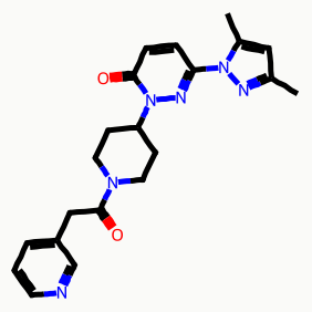 Cc1cc(C)n(-c2ccc(=O)n(C3CCN(C(=O)Cc4cccnc4)CC3)n2)n1